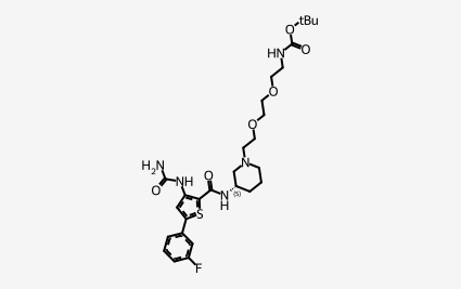 CC(C)(C)OC(=O)NCCOCCOCCN1CCC[C@H](NC(=O)c2sc(-c3cccc(F)c3)cc2NC(N)=O)C1